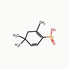 CC1=C([PH](=O)O)C=CC(C)(C)C1